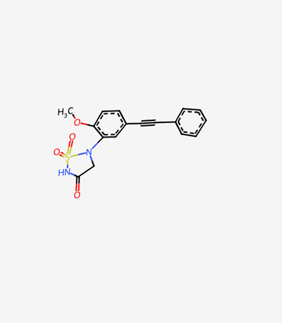 COc1ccc(C#Cc2ccccc2)cc1N1CC(=O)NS1(=O)=O